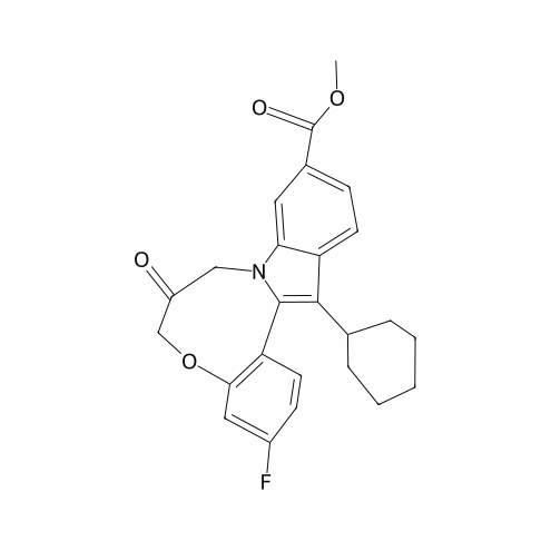 COC(=O)c1ccc2c(C3CCCCC3)c3n(c2c1)CC(=O)COc1cc(F)ccc1-3